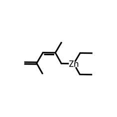 C=C(C)C=C(C)[CH2][Zn]([CH2]C)[CH2]C